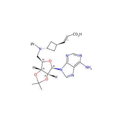 CC(C)N(C[C@H]1O[C@@H](n2cnc3c(N)ncnc32)[C@@H]2OC(C)(C)O[C@@H]21)[C@H]1C[C@H](/C=C/C(=O)O)C1